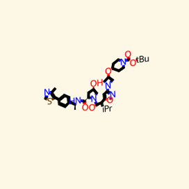 Cc1ncsc1-c1ccc([C@H](C)NC(=O)[C@@H]2C[C@@H](O)CN2C(=O)C(c2cc(N3CC(OC4CCN(C(=O)OC(C)(C)C)CC4)C3)no2)C(C)C)cc1